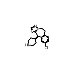 Clc1ccc2c(c1)C(=C1CCNCC1)c1ncnn1CC2